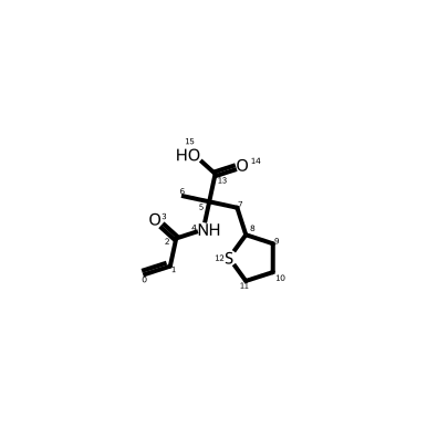 C=CC(=O)NC(C)(CC1CCCS1)C(=O)O